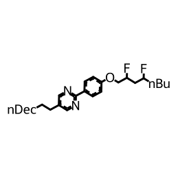 CCCCCCCCCCCCc1cnc(-c2ccc(OCC(F)CC(F)CCCC)cc2)nc1